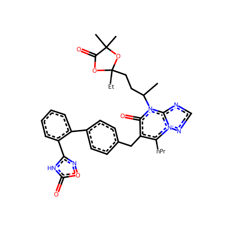 CCCc1c(Cc2ccc(-c3ccccc3-c3noc(=O)[nH]3)cc2)c(=O)n(C(C)CCC2(CC)OC(=O)C(C)(C)O2)c2ncnn12